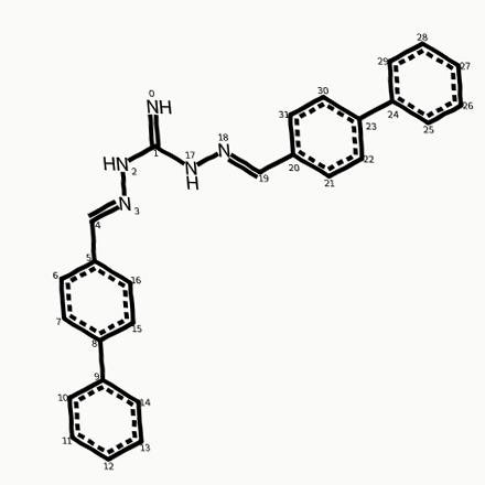 N=C(N/N=C/c1ccc(-c2ccccc2)cc1)N/N=C/c1ccc(-c2ccccc2)cc1